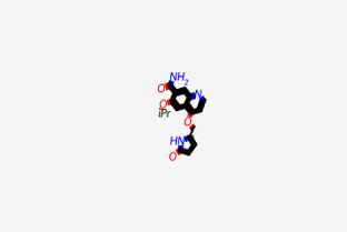 CC(C)Oc1cc2c(OC[C@H]3CCC(=O)N3)ccnc2cc1C(N)=O